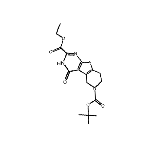 CCOC(=O)c1nc2sc3c(c2c(=O)[nH]1)CN(C(=O)OC(C)(C)C)CC3